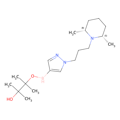 C[C@@H]1CCC[C@H](C)N1CCCn1cc(BOC(C)(C)C(C)(C)O)cn1